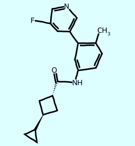 Cc1ccc(NC(=O)[C@H]2C[C@H](C3CC3)C2)cc1-c1cncc(F)c1